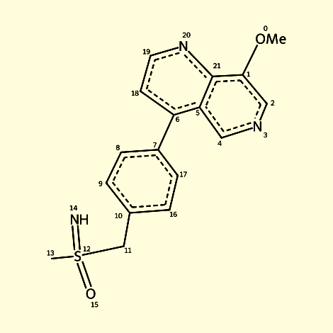 COc1cncc2c(-c3ccc(CS(C)(=N)=O)cc3)ccnc12